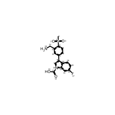 CS(=O)(=O)c1ccc(-c2cn(C(=O)O)c3cc(F)ccc23)cc1CN